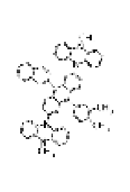 Cc1ccc(-c2c3ccc(N4c5ccccc5N(C)c5ccccc54)cc3c(-c3ccc4ccccc4c3)c3ccc(N4c5ccccc5N(C)c5ccccc54)cc23)cc1C